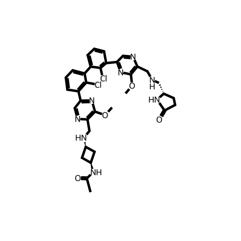 COc1nc(-c2cccc(-c3cccc(-c4cnc(CN[C@H]5C[C@H](NC(C)=O)C5)c(OC)n4)c3Cl)c2Cl)cnc1CNC[C@@H]1CCC(=O)N1